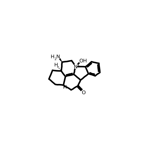 N[C@H]1C[N+]2(O)C3=C4[C@H](CCC[C@H]41)CC(=O)C3c1ccccc12